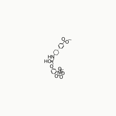 CCOC(=O)c1ccc([C@H]2CC[C@H](NC[C@H](O)COc3ccc4oc(=O)n(S(C)(=O)=O)c4c3)CC2)cc1